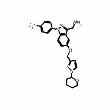 NCc1nn(-c2ccc(C(F)(F)F)cc2)c2ccc(OCc3ccn(C4CCCCO4)n3)cc12